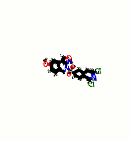 COc1ccc(CN(c2ccon2)S(=O)(=O)c2ccc3c(Cl)nc(Cl)cc3c2)cc1